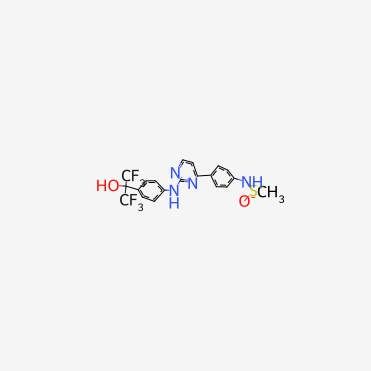 C[S+]([O-])Nc1ccc(-c2ccnc(Nc3ccc(C(O)(C(F)(F)F)C(F)(F)F)cc3)n2)cc1